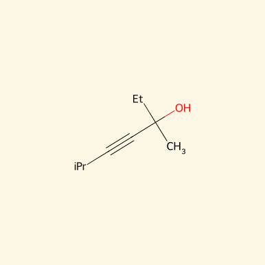 CCC(C)(O)C#CC(C)C